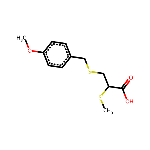 COc1ccc(CSCC(SC)C(=O)O)cc1